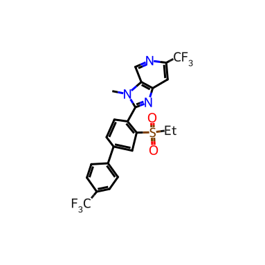 CCS(=O)(=O)c1cc(-c2ccc(C(F)(F)F)cc2)ccc1-c1nc2cc(C(F)(F)F)ncc2n1C